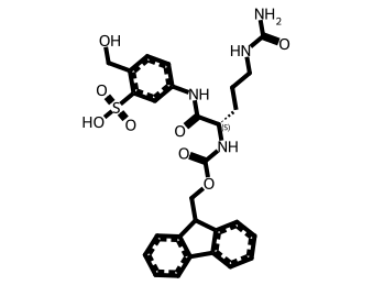 NC(=O)NCCC[C@H](NC(=O)OCC1c2ccccc2-c2ccccc21)C(=O)Nc1ccc(CO)c(S(=O)(=O)O)c1